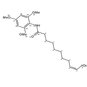 CCCCCCCC/C=C\CCCCCCCC(=O)Nc1c(OC)cc(OC)cc1OC